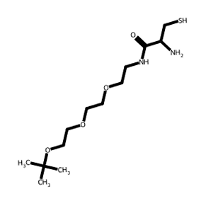 CC(C)(C)OCCOCCOCCNC(=O)C(N)CS